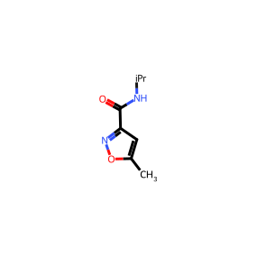 Cc1cc(C(=O)NC(C)C)no1